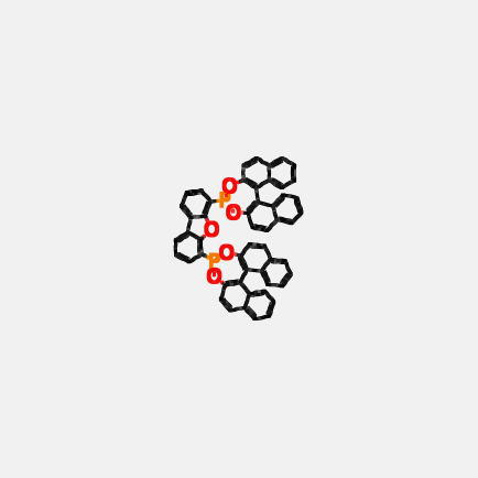 c1ccc2c(c1)ccc1op(-c3cccc4c3oc3c(-p5oc6ccc7ccccc7c6c6c(ccc7ccccc76)o5)cccc34)oc3ccc4ccccc4c3c12